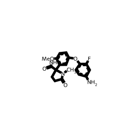 COc1ccc(Oc2ccc(N)cc2F)cc1C1(C(N)=O)CCC(=O)N1C